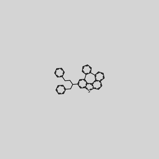 c1ccc(CCC(Cc2ccccc2)c2cc3c4c(c2)sc2ccc5cccc(c5c24)-c2ccccc2-3)cc1